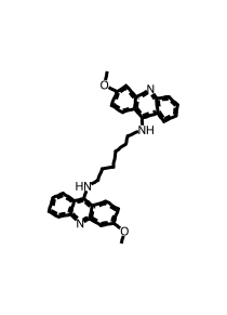 COc1ccc2c(NCCCCCCNc3c4ccccc4nc4cc(OC)ccc34)c3ccccc3nc2c1